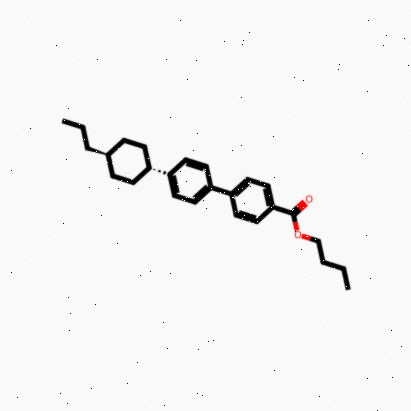 CCCCOC(=O)c1ccc(-c2ccc([C@H]3CC[C@H](CCC)CC3)cc2)cc1